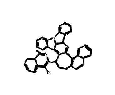 CCc1c(C2CCc3ccc4ccccc4c3-c3cc4c5ccccc5n5c6ccccc6c(c32)c45)nc(C)c2ccccc12